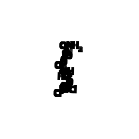 NC(=O)c1cc(COC(=O)N2C[C@H]3C[C@@H](Oc4ccc(Cl)cc4Cl)C[C@H]3C2)on1